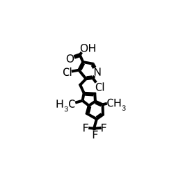 Cc1cc(C(F)(F)F)cc2c1C=C(Cc1c(Cl)ncc(C(=O)O)c1Cl)C2C